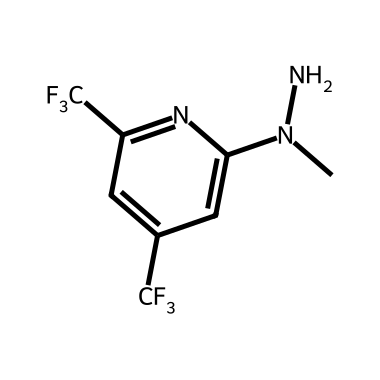 CN(N)c1cc(C(F)(F)F)cc(C(F)(F)F)n1